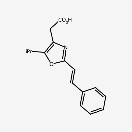 CC(C)c1oc(/C=C/c2ccccc2)nc1CC(=O)O